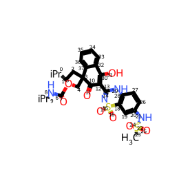 CC(C)CCC1(COC(=O)NC(C)C)C(=O)C(C2=NS(=O)(=O)c3cc(NS(C)(=O)=O)ccc3N2)=C(O)c2ccccc21